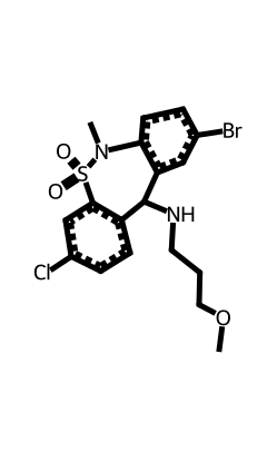 COCCCNC1c2cc(Br)ccc2N(C)S(=O)(=O)c2cc(Cl)ccc21